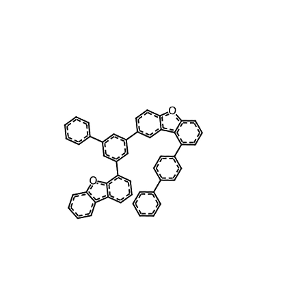 c1ccc(-c2ccc(-c3cccc4oc5ccc(-c6cc(-c7ccccc7)cc(-c7cccc8c7oc7ccccc78)c6)cc5c34)cc2)cc1